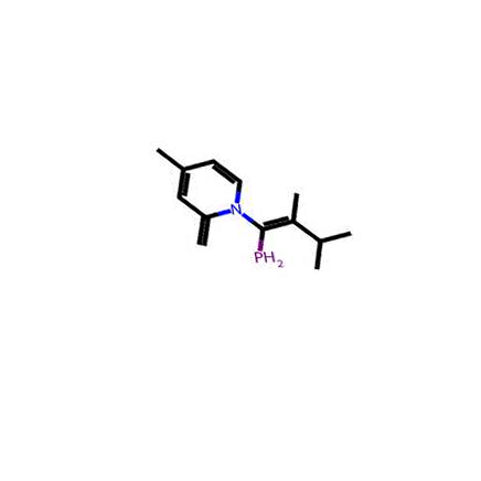 C=C1C=C(C)C=CN1/C(P)=C(\C)C(C)C